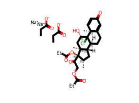 CCC(=O)OCC(=O)[C@@]1(OC(=O)CC)[C@@H](C)C[C@H]2[C@@H]3CCC4=CC(=O)C=C[C@]4(C)C3(Cl)[C@@H](O)C[C@@]21C.CCC(=O)[O-].CCC(=O)[O-].[Na+].[Na+]